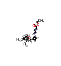 CCOC(=O)/C=C/C=C/[C@@H]1CC[C@H]1CO[Si](C)(C)C(C)(C)C